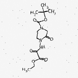 CCOC(=O)C(=O)NN1CCN(C(=O)OC(C)(C)C)CC1=O